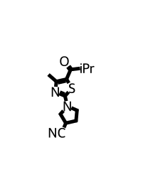 Cc1nc(N2CCC(C#N)C2)sc1C(=O)C(C)C